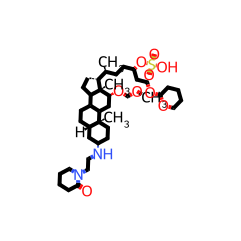 COCO[C@H]1CC2C(CC[C@H]3C[C@@H](NCCN4CCCCC4=O)CC[C@]23C)C2CC[C@H]([C@H](C)CCC(CCOC3CCCCO3)OS(=O)(=O)O)[C@]21C